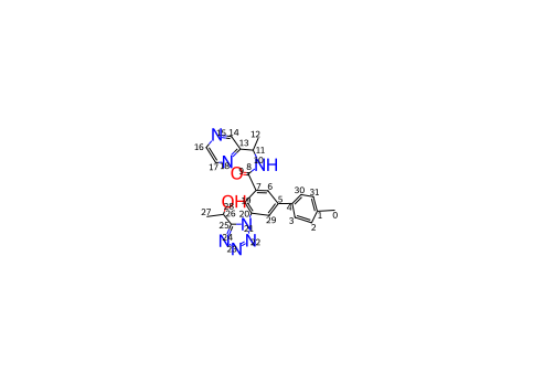 Cc1ccc(-c2cc(C(=O)NC(C)c3cnccn3)cc(-n3nnnc3C(C)O)c2)cc1